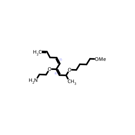 C=CC/C=C\C(=C/C(C)OCCCCOC)OCCN